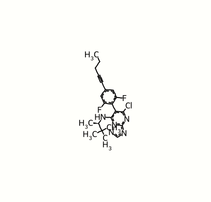 CCCC#Cc1cc(F)c(-c2c(Cl)nc3ncnn3c2N[C@H](C)C(C)(C)C)c(F)c1